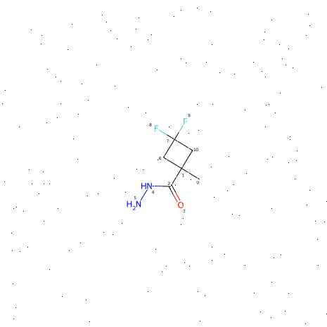 CC1(C(=O)NN)CC(F)(F)C1